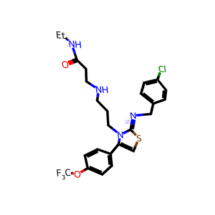 CCNC(=O)CCNCCCn1c(-c2ccc(OC(F)(F)F)cc2)cs/c1=N\Cc1ccc(Cl)cc1